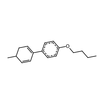 CCCCOc1ccc(C2=CCC(C)C=C2)cc1